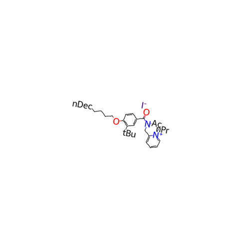 CCCCCCCCCCCCCCOc1ccc(C(=O)N(Cc2cccc[n+]2CCC)C(C)=O)cc1C(C)(C)C.[I-]